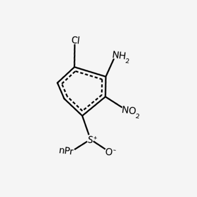 CCC[S+]([O-])c1ccc(Cl)c(N)c1[N+](=O)[O-]